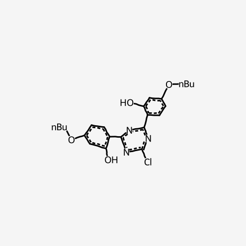 CCCCOc1ccc(-c2nc(Cl)nc(-c3ccc(OCCCC)cc3O)n2)c(O)c1